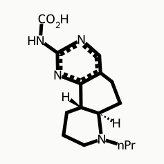 CCCN1CCC[C@@H]2c3nc(NC(=O)O)ncc3CC[C@H]21